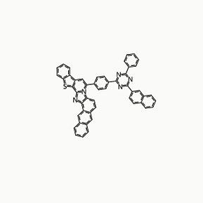 c1ccc(-c2nc(-c3ccc(-c4cc5c6ccccc6sc5c5nc6c7cc8ccccc8cc7ccc6n45)cc3)nc(-c3ccc4ccccc4c3)n2)cc1